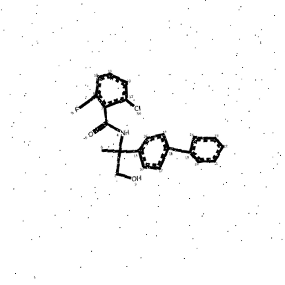 CC(CO)(NC(=O)c1c(F)cccc1Cl)c1ccc(-c2ccccc2)cc1